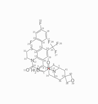 C=CC(=O)N1C2CN(c3nc(=O)n4c5c(c(-c6ccc(F)cc6F)c(C(F)(F)F)cc35)SCC4)CC1CC1(COC1)C2